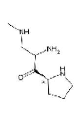 CNCC(N)C(=O)[C@@H]1CCCN1